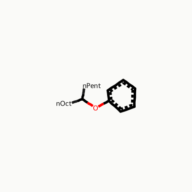 CCCCCCCCC(CCCCC)Oc1ccccc1